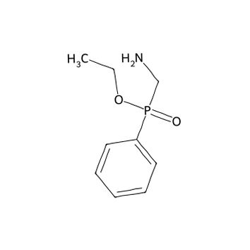 CCOP(=O)(CN)c1ccccc1